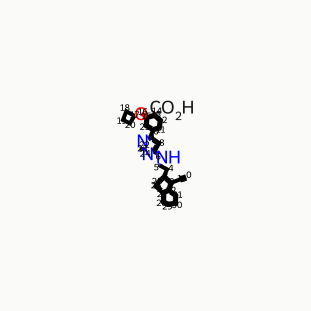 C#Cc1c(CCNc2cc(-c3ccc(C(=O)O)c(OC4CCC4)c3)ncn2)ccc2ccccc12